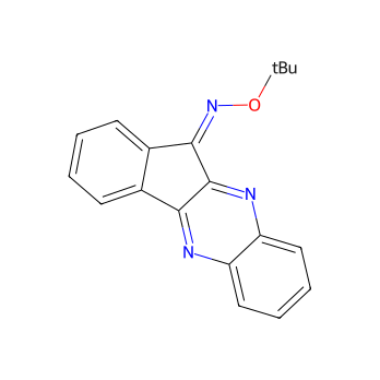 CC(C)(C)O/N=C1/c2ccccc2-c2nc3ccccc3nc21